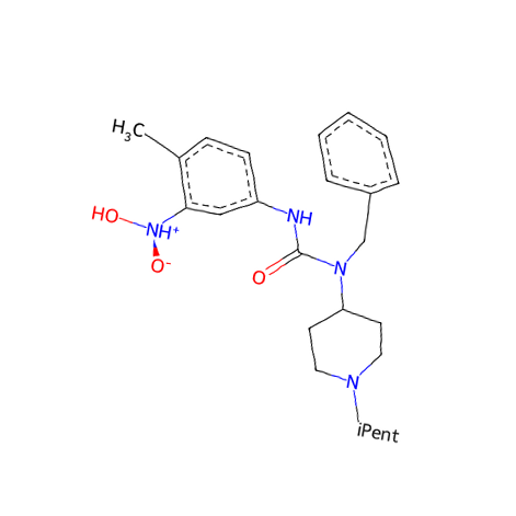 CCCC(C)N1CCC(N(Cc2ccccc2)C(=O)Nc2ccc(C)c([N@@H+]([O-])O)c2)CC1